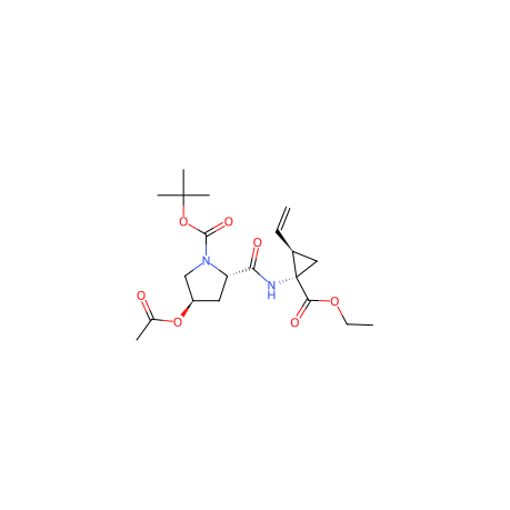 C=C[C@H]1C[C@@]1(NC(=O)[C@@H]1C[C@@H](OC(C)=O)CN1C(=O)OC(C)(C)C)C(=O)OCC